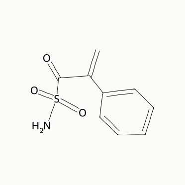 C=C(C(=O)S(N)(=O)=O)c1ccccc1